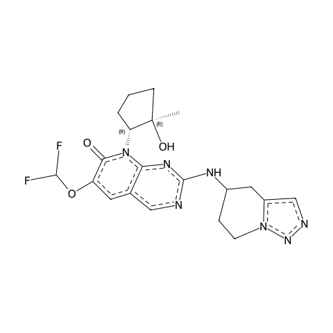 C[C@@]1(O)CCC[C@H]1n1c(=O)c(OC(F)F)cc2cnc(NC3CCn4nncc4C3)nc21